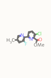 COC(=O)c1nc(-c2ncc(C)cc2F)ccc1Cl